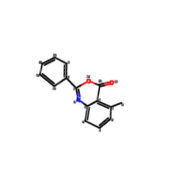 Cc1cccc2nc(-c3ccccc3)oc(=O)c12